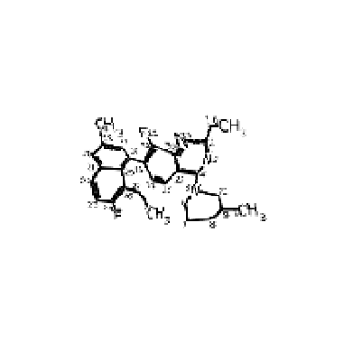 CCc1nc(N2CCCC(C)C2)c2ccc(-c3cc(C)cc4ccc(F)c(CC)c34)c(F)c2n1